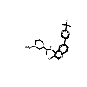 C[C@H](Nc1c(Cl)cnc2ccc(-c3cnc(C(C)(C)O)nc3)cc12)[C@H]1CCCN(C(=O)O)C1